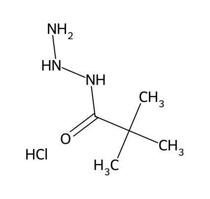 CC(C)(C)C(=O)NNN.Cl